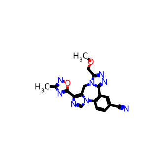 COCc1nnc2n1Cc1c(-c3nc(C)no3)ncn1-c1ccc(C#N)cc1-2